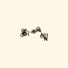 O=C(/C=C/c1ccnnc1)NC/C=C/CC1CCN(C(=O)c2ccc(N3CCN(CCCCCC#Cc4cccc5c4CN(C4CCC(=O)NC4=O)C5=O)CC3)cc2)CC1